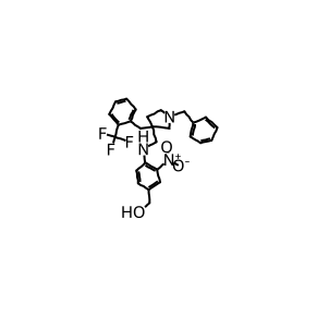 O=[N+]([O-])c1cc(CO)ccc1NCC1(Cc2ccccc2C(F)(F)F)CCN(Cc2ccccc2)C1